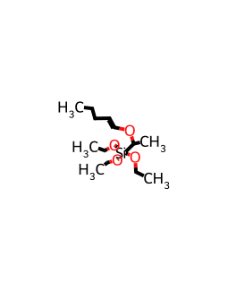 CCCC=COC(C)[Si](OCC)(OCC)OCC